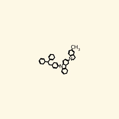 Cc1ccc2c(c1)CCN2C1=CC=C2C(C1)C1=C(C=CCC1)N2C1=CCC(CC(C2=CCCC=C2)C2C=CC=CC2)C=C1